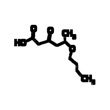 CCCCOC(C)CC(=O)CC(=O)O